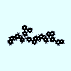 c1ccc(-c2ccccc2-c2ccc(N(c3ccc(-c4cccc5c4ccc4c6ccc7sc8c(N(c9ccc(-c%10ccc%11ccccc%11c%10)cc9)c9cccc%10ccccc9%10)cccc8c7c6oc54)cc3)c3cccc4c3sc3ccc5c6ccc7ccccc7c6oc5c34)cc2)cc1